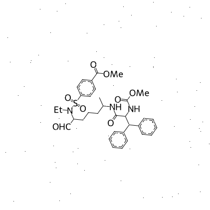 CCN(C(C=O)CCCC(C)NC(=O)C(NC(=O)OC)C(c1ccccc1)c1ccccc1)S(=O)(=O)c1ccc(C(=O)OC)cc1